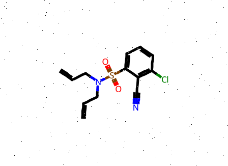 C=CCN(CC=C)S(=O)(=O)c1cccc(Cl)c1C#N